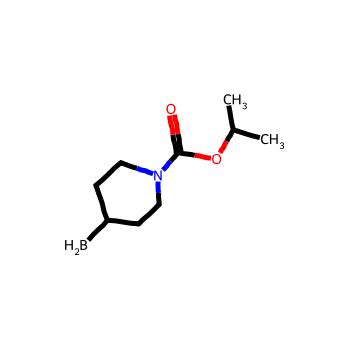 BC1CCN(C(=O)OC(C)C)CC1